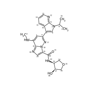 CNc1cc(-c2cn(C(C)C)c3ncccc23)nn2c(C(=O)N[C@H]3COC[C@H]3O)cnc12